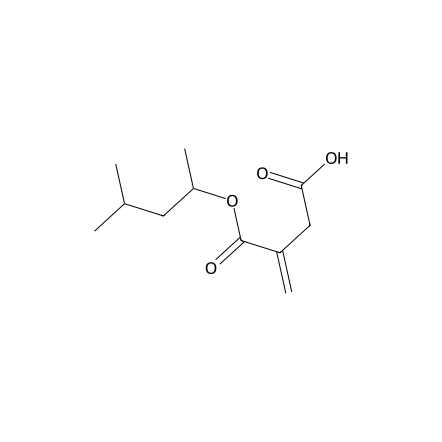 C=C(CC(=O)O)C(=O)OC(C)CC(C)C